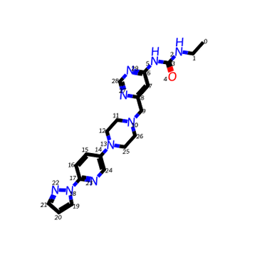 CCNC(=O)Nc1cc(CN2CCN(c3ccc(-n4cccn4)nc3)CC2)ncn1